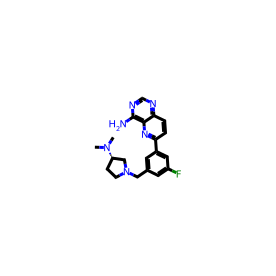 CN(C)[C@H]1CCN(Cc2cc(F)cc(-c3ccc4ncnc(N)c4n3)c2)C1